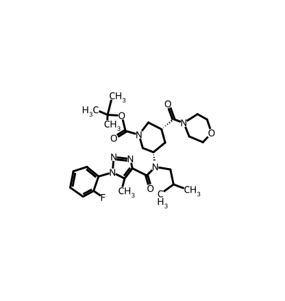 Cc1c(C(=O)N(CC(C)C)[C@H]2C[C@@H](C(=O)N3CCOCC3)CN(C(=O)OC(C)(C)C)C2)nnn1-c1ccccc1F